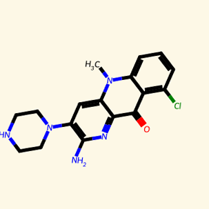 Cn1c2cc(N3CCNCC3)c(N)nc2c(=O)c2c(Cl)cccc21